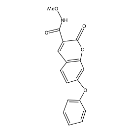 CONC(=O)c1cc2ccc(Oc3ccccc3)cc2oc1=O